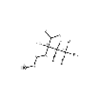 CC(C)C(F)(CCCO)C(F)(F)C(F)(F)F